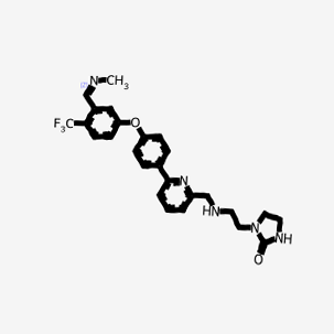 C/N=C\c1cc(Oc2ccc(-c3cccc(CNCCN4CCNC4=O)n3)cc2)ccc1C(F)(F)F